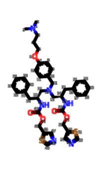 CN(C)CCCOc1ccc(CN(C[C@@H](Cc2ccccc2)NC(=O)OCc2cncs2)C[C@H](Cc2ccccc2)NC(=O)OCc2cncs2)cc1